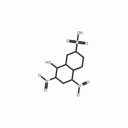 O=[N+]([O-])C1CC([N+](=O)[O-])C2CCC(S(=O)(=O)O)CC2C1O